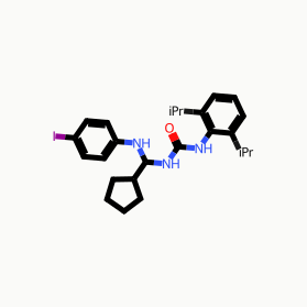 CC(C)c1cccc(C(C)C)c1NC(=O)NC(Nc1ccc(I)cc1)C1CCCC1